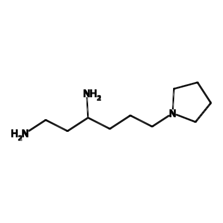 NCCC(N)CCCN1CCCC1